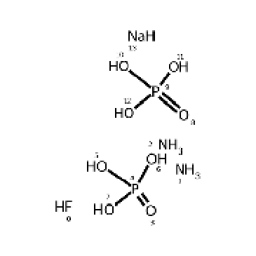 F.N.N.O=P(O)(O)O.O=P(O)(O)O.[NaH]